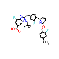 Cc1ccc(COc2cccc(-c3ccc(Cc4nc5c(F)cc(C(=O)O)cc5n4CC4(CF)CC4)cc3F)n2)c(F)c1